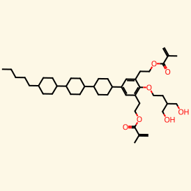 C=C(C)C(=O)OCCc1cc(C2CCC(C3CCC(C4CCC(CCCCC)CC4)CC3)CC2)cc(CCOC(=O)C(=C)C)c1OCCC(CO)CO